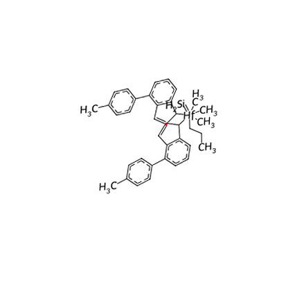 CC[CH2][Hf]([CH3])([CH3])([CH3])(=[SiH2])([CH]1C=Cc2c(-c3ccc(C)cc3)cccc21)[CH]1C=Cc2c(-c3ccc(C)cc3)cccc21